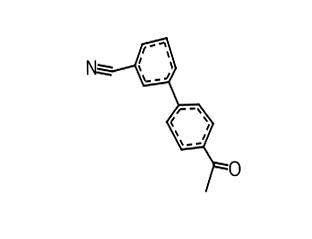 CC(=O)c1ccc(-c2cccc(C#N)c2)cc1